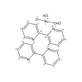 Cl.O=[CH][Ru][Cl].c1ccc(-c2ccccn2)nc1.c1ccc(-c2ccccn2)nc1